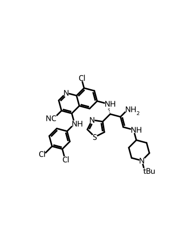 CC(C)(C)N1CCC(N/C=C(\N)[C@@H](Nc2cc(Cl)c3ncc(C#N)c(Nc4ccc(Cl)c(Cl)c4)c3c2)c2cscn2)CC1